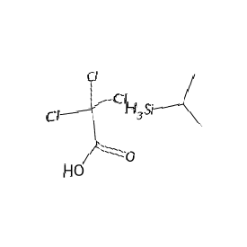 CC(C)[SiH3].O=C(O)C(Cl)(Cl)Cl